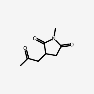 CC(=O)CC1CC(=O)N(C)C1=O